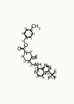 Cc1ccc(COC(=O)N2CC[C@H](CNc3nccn4c(C(F)(F)F)nnc34)[C@H](F)C2)cc1